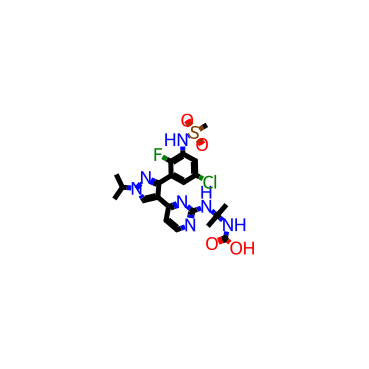 CC(C)n1cc(-c2ccnc(NC(C)(C)NC(=O)O)n2)c(-c2cc(Cl)cc(NS(C)(=O)=O)c2F)n1